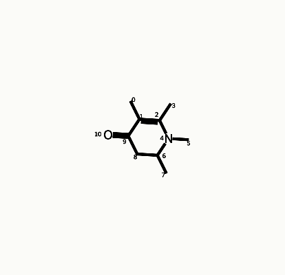 CC1=C(C)N(C)C(C)CC1=O